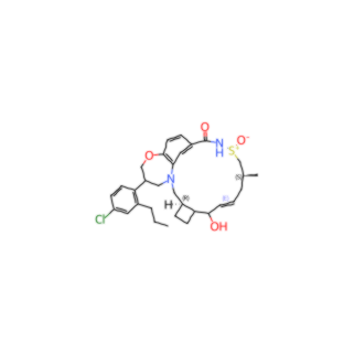 CCCc1cc(Cl)ccc1C1COc2ccc3cc2N(C1)C[C@@H]1CCC1C(O)/C=C/C[C@H](C)C[S+]([O-])NC3=O